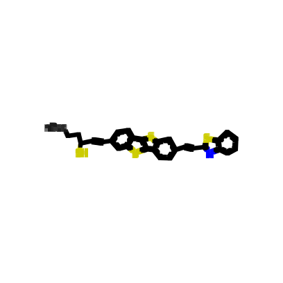 CCCCCCCCCCCCC(S)C#Cc1ccc2c(c1)sc1c3ccc(C#Cc4nc5ccccc5s4)cc3sc21